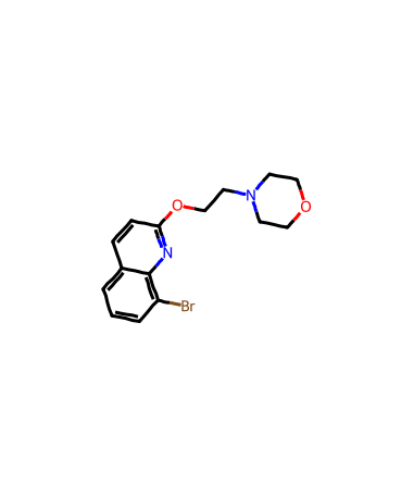 Brc1cccc2ccc(OCCN3CCOCC3)nc12